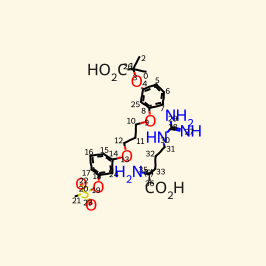 CC(C)(Oc1cccc(OCCCOc2cccc(OS(C)(=O)=O)c2)c1)C(=O)O.N=C(N)NCCC[C@H](N)C(=O)O